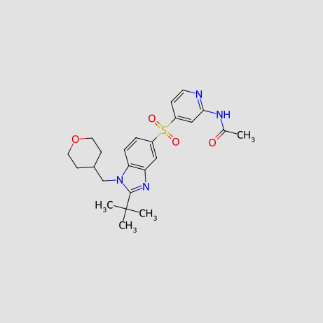 CC(=O)Nc1cc(S(=O)(=O)c2ccc3c(c2)nc(C(C)(C)C)n3CC2CCOCC2)ccn1